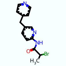 CC(Br)C(=O)Nc1ccc(Cc2ccncc2)cn1